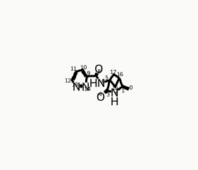 C=C1NC(=O)C2(NC(=O)c3cccnn3)CC1C2